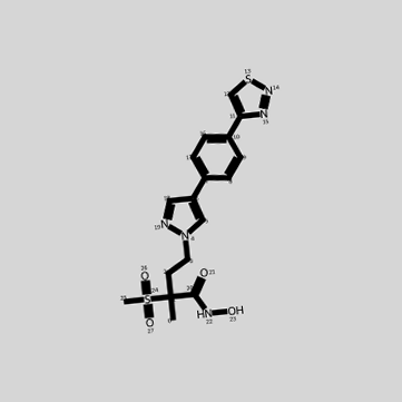 CC(CCn1cc(-c2ccc(-c3csnn3)cc2)cn1)(C(=O)NO)S(C)(=O)=O